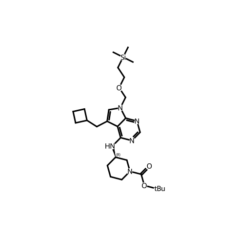 CC(C)(C)OC(=O)N1CCC[C@@H](Nc2ncnc3c2c(CC2CCC2)cn3COCC[Si](C)(C)C)C1